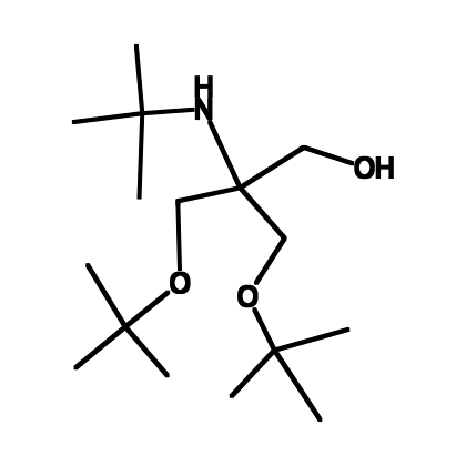 CC(C)(C)NC(CO)(COC(C)(C)C)COC(C)(C)C